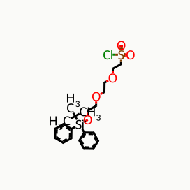 CC(C)(C)[Si](OCCOCCOCCS(=O)(=O)Cl)(c1ccccc1)c1ccccc1